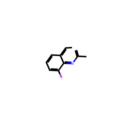 C=C(C)/N=C1/C(I)=CC=C/C1=C/C